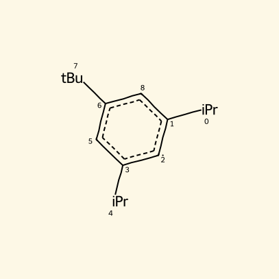 CC(C)c1[c]c(C(C)C)cc(C(C)(C)C)c1